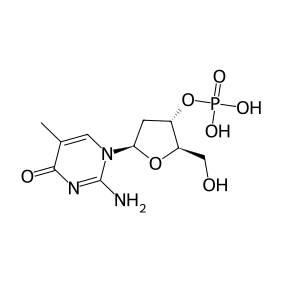 Cc1cn([C@H]2C[C@H](OP(=O)(O)O)[C@@H](CO)O2)c(N)nc1=O